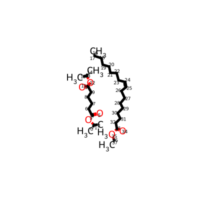 CC(C)OC(=O)CCCCC(=O)OC(C)C.CCCCCCCC/C=C\CCCCCCCC(=O)OCC